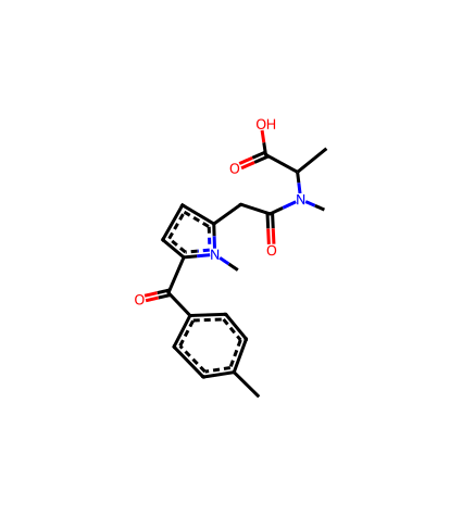 Cc1ccc(C(=O)c2ccc(CC(=O)N(C)C(C)C(=O)O)n2C)cc1